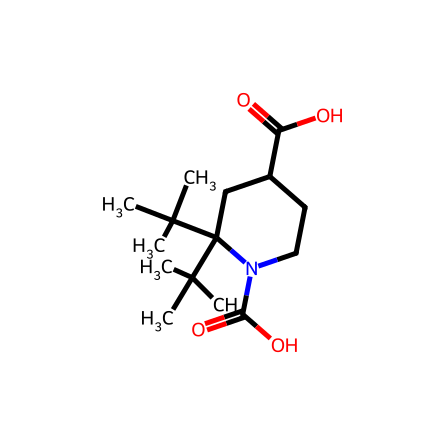 CC(C)(C)C1(C(C)(C)C)CC(C(=O)O)CCN1C(=O)O